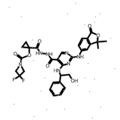 CC1(C)OC(=O)c2ccc(Nc3ncc(C(=O)NNC(=O)C4(OC(=O)N5CC(F)(F)C5)CC4)c(NC(CO)c4ccccc4)n3)cc21